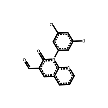 O=Cc1cc2cccnc2n(-c2cc(Cl)cc(Cl)c2)c1=O